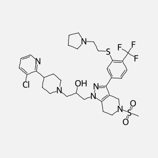 CS(=O)(=O)N1CCc2c(c(-c3ccc(C(F)(F)F)c(SCCN4CCCC4)c3)nn2CC(O)CN2CCC(c3ncccc3Cl)CC2)C1